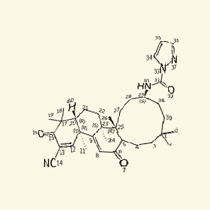 CC1(C)CCC2C(=O)C=C3[C@@]4(C)C=C(C#N)C(=O)C(C)(C)[C@@H]4CC[C@@]3(C)[C@]2(C)CC[C@@H](NC(=O)n2cccn2)CC1